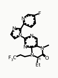 CC[C@@H]1C(=O)N(C)c2cnc(-n3ccnc3-c3ccc(F)cn3)nc2N1CCC(F)(F)F